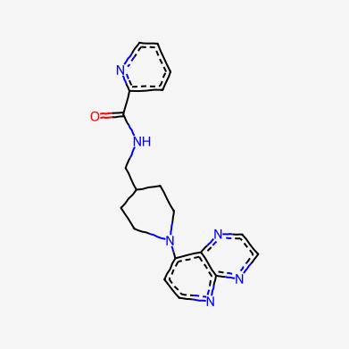 O=C(NCC1CCN(c2ccnc3nccnc23)CC1)c1ccccn1